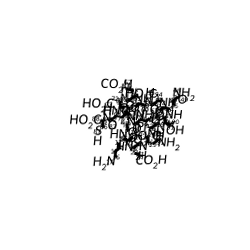 CC(C)C[C@H](N)C(=O)N[C@@H](C)C(=O)N[C@@H](CCCCN)C(=O)N[C@@H](CCC(=O)O)C(=O)N[C@@H](CC(N)=O)C(=O)N[C@H](C(=O)N[C@H](C(=O)N[C@@H](CCC(N)=O)C(=O)N[C@@H](CC(=O)O)C(=O)N[C@@H](C)C(=O)N[C@@H](CCC(=O)O)C(=O)N[C@@H](CC(=O)O)C(=O)N[C@@H](CC(N)=O)C(=O)N[C@@H](CS)C(=O)O)[C@@H](C)O)C(C)C